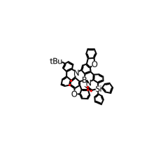 CC(C)(C)c1ccc(N2c3cc4c(oc5ccccc54)c4c3B(c3c2ccc2oc5ccccc5c32)N2c3ccccc3[Si](c3ccccc3)(c3ccccc3)c3cccc-4c32)c(-c2ccccc2)c1